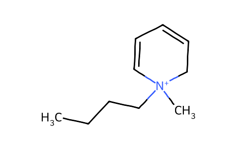 CCCC[N+]1(C)C=CC=CC1